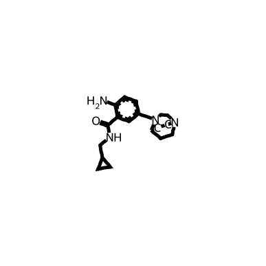 Nc1ccc(N2CCN3CCC2CC3)cc1C(=O)NCC1CC1